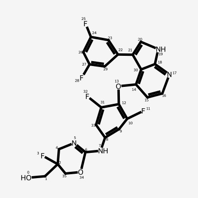 OCC1(F)CN=C(Nc2cc(F)c(Oc3ccnc4[nH]cc(-c5cc(F)cc(F)c5)c34)c(F)c2)OC1